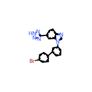 Brc1ccc(-c2cccc(-n3cnc4ccc(-c5nn[nH]n5)cc43)c2)cc1